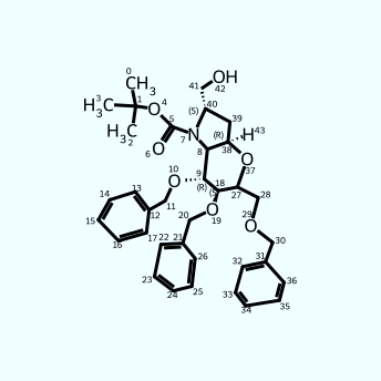 CC(C)(C)OC(=O)N1C2[C@@H](OCc3ccccc3)[C@H](OCc3ccccc3)C(COCc3ccccc3)O[C@@H]2C[C@H]1CO